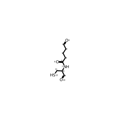 O=CCCCC(=O)NC(C=O)CS